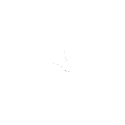 CC(=O)Nc1cc(Br)sc1Br